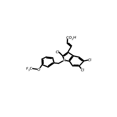 O=C(O)C=Cc1c(Cl)n(Cc2cccc(OC(F)(F)F)c2)c2cc(Cl)c(Cl)cc12